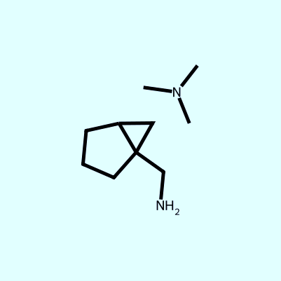 CN(C)C.NCC12CCCC1C2